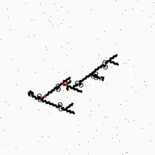 CCCCCC(CCCCC)CCOC(=O)CCCCCCCCCC(CCCCCCCCCC(=O)OCCC(CCCCC)CC(CCC)C(CC)CCC(CCCCC)CCOC(=O)CCCCCCCC(CCCCCCCC(=O)OCCC(CCCCC)CCCCC)OC(=O)OCCN(C)C)OC(=O)CCCN1CCCC1